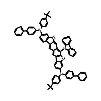 CC(C)(C)c1ccc(N(c2ccc(-c3ccccc3)cc2)c2ccc3c(c2)oc2cc4c(-n5c6ccccc6c6ccccc65)c5oc6cc(N(c7ccc(-c8ccccc8)cc7)c7ccc(C(C)(C)C)cc7)ccc6c5cc4cc23)cc1